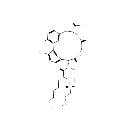 CCCCCCCCCCNCCS(=O)(=O)N[C@@H](CCCCN)C(=O)N(C)[C@@H]1C(=O)N[C@@H](C)C(=O)N[C@H](C(=O)OC)Cc2ccc(O)c(c2)-c2cc1ccc2O